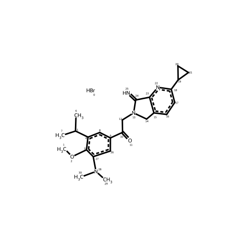 Br.COc1c(C(C)C)cc(C(=O)CN2Cc3ccc(C4CC4)nc3C2=N)cc1N(C)C